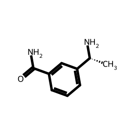 C[C@@H](N)c1cccc(C(N)=O)c1